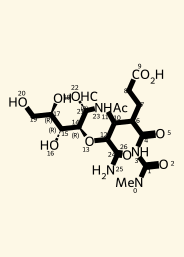 CNC(=O)NC(=O)C(CCC(=O)O)C(C)C(O[C@@H]([C@H](O)[C@H](O)CO)[C@H](C=O)NC(C)=O)C(N)=O